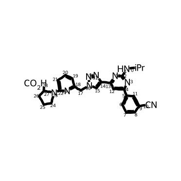 CC(C)Nc1nc(-c2cccc(C#N)c2)cc(-c2cn(Cc3cccc(N4CCCC4C(=O)O)n3)nn2)n1